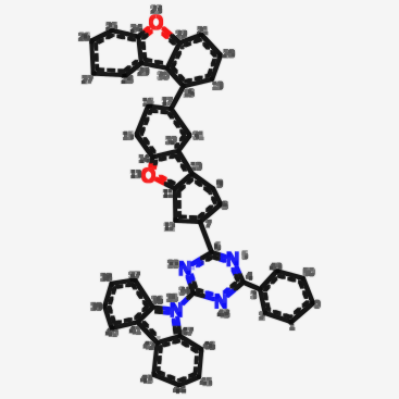 c1ccc(-c2nc(-c3ccc4c(c3)oc3ccc(-c5cccc6oc7ccccc7c56)cc34)nc(-n3c4ccccc4c4ccccc43)n2)cc1